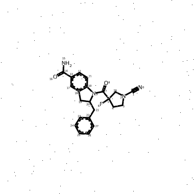 N#CN1CCC(F)(C(=O)N2c3ccc(C(N)=O)cc3CC2Cc2ccccc2)C1